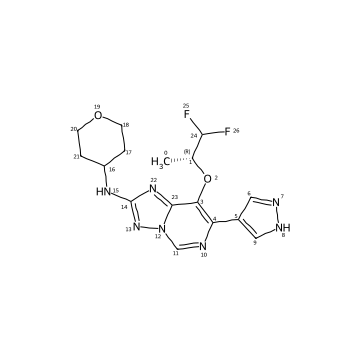 C[C@@H](Oc1c(-c2cn[nH]c2)ncn2nc(NC3CCOCC3)nc12)C(F)F